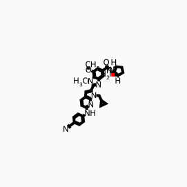 COc1cc(C(=O)N2C[C@H]3CC[C@@H]2[C@@H]3N)cc2nc(-c3cc4ccc(Nc5ccc(C#N)cc5)nc4n3CC3CC3)n(C)c12